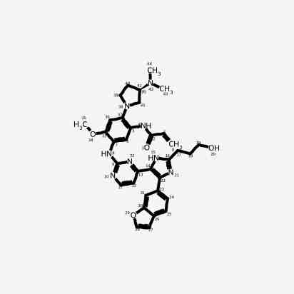 C=CC(=O)Nc1cc(Nc2nccc(-c3[nH]c(CCCO)nc3-c3ccc4ccoc4c3)n2)c(OC)cc1N1CC[C@@H](N(C)C)C1